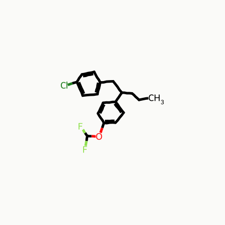 CCCC(Cc1ccc(Cl)cc1)c1ccc(OC(F)F)cc1